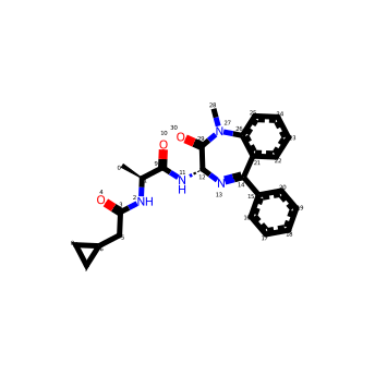 C[C@H](NC(=O)CC1CC1)C(=O)N[C@H]1N=C(c2ccccc2)c2ccccc2N(C)C1=O